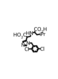 CC(C)CC(NCC(C(=O)O)c1cncn1Cc1cc(Cl)ccc1Cl)C(=O)O